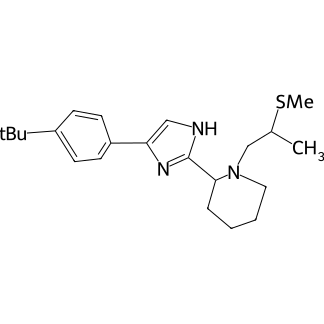 CSC(C)CN1CCCCC1c1nc(-c2ccc(C(C)(C)C)cc2)c[nH]1